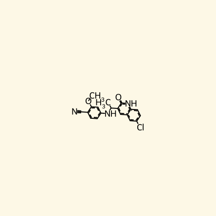 COc1cc(NC(C)c2cc3cc(Cl)ccc3[nH]c2=O)ccc1C#N